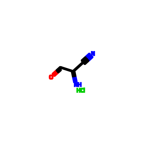 Cl.N#CC(=N)C=O